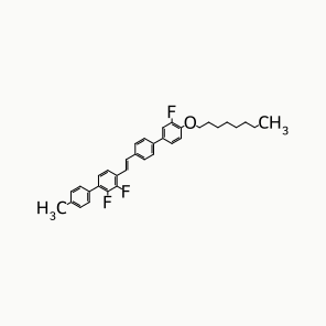 CCCCCCCCOc1ccc(-c2ccc(/C=C/c3ccc(-c4ccc(C)cc4)c(F)c3F)cc2)cc1F